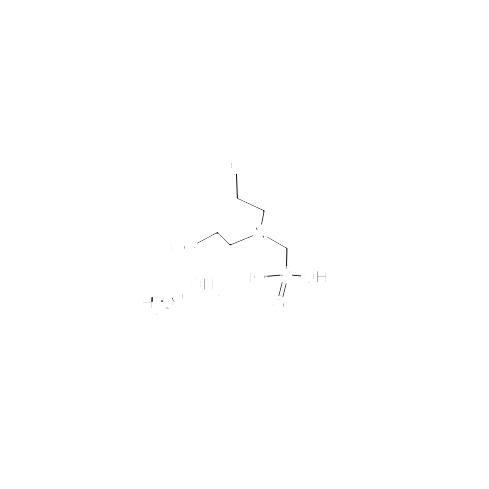 O.O.O.O=P(O)(O)CN(CCO)CCO